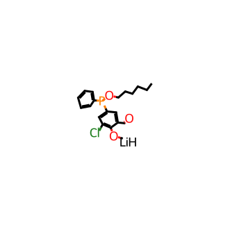 CCCCCCOP(c1ccccc1)c1cc(Cl)c(OC)c(C=O)c1.[LiH]